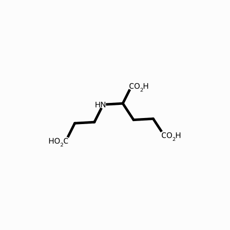 O=C(O)CCNC(CCC(=O)O)C(=O)O